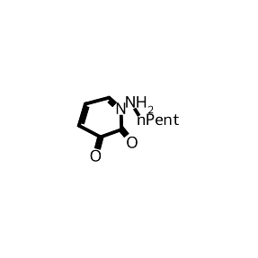 CCCCCN.O=C1C=CC=NC1=O